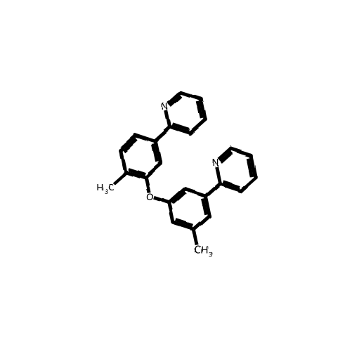 Cc1cc(Oc2cc(-c3ccccn3)ccc2C)cc(-c2ccccn2)c1